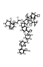 COC(=O)C1(N(C(=O)C(F)(F)F)c2cccc(Cl)c2)CCC2(CC1)c1cc(C(=O)N3CCN(Cc4ccnc(-c5ccccc5OC)n4)CC3)ccc1C[C@@H]2C[C@@H](C)COc1ccnc2c1[C@H](C)CCC2